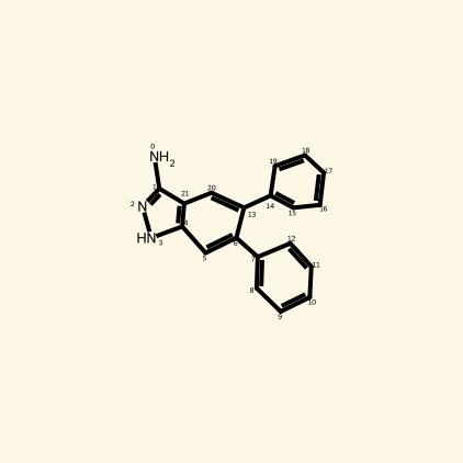 Nc1n[nH]c2cc(-c3ccccc3)c(-c3ccccc3)cc12